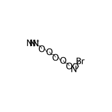 [N-]=[N+]=NCCOCCOCCOCCOCCOc1cc(Br)ccn1